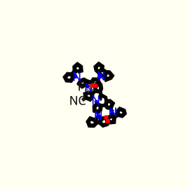 N#Cc1cc2c(c(-n3c4ccc(-n5c6ccccc6c6ccccc65)cc4c4cc(-n5c6ccccc6c6ccccc65)ccc43)c1)-c1c(cccc1C(F)(F)F)C1=CN2c2ccc(-n3c4ccccc4c4ccccc43)cc2-c2cc(-n3c4ccccc4c4ccccc43)ccc2C1